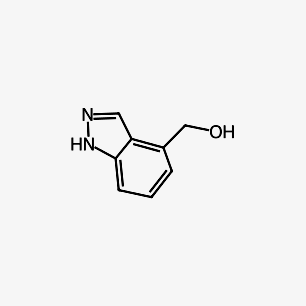 OCc1cccc2[nH]ncc12